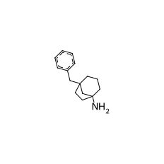 NC12CCCC(Cc3ccccc3)(CC1)C2